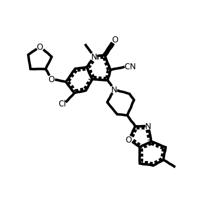 Cc1ccc2oc(C3CCN(c4c(C#N)c(=O)n(C)c5cc(OC6CCOC6)c(Cl)cc45)CC3)nc2c1